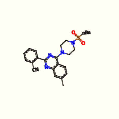 CCCCS(=O)(=O)N1CCN(c2nc(-c3ccccc3C#N)nc3cc(C)ccc23)CC1